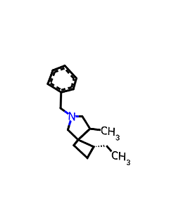 CC[C@@H]1CCC12CN(Cc1ccccc1)CC2C